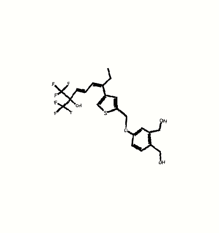 CC/C(=C/C=C/C(O)(C(F)(F)F)C(F)(F)F)c1csc(COc2ccc(CO)c(CO)c2)c1